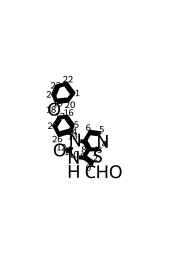 O=Cc1sc2nccc3c2c1NC(=O)N3c1ccc(Oc2ccccc2)cc1